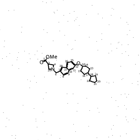 COC(=O)C1CN(Cc2ccc3cc(OC4CCC(C5CCCC5)CC4)ccc3c2)C1